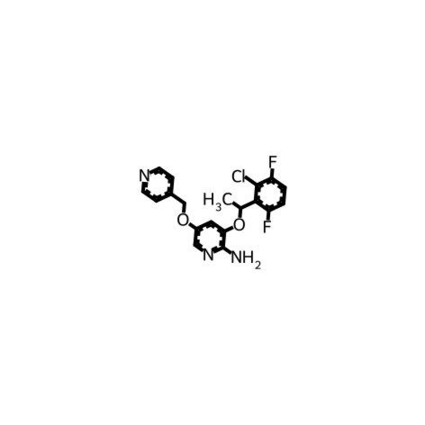 CC(Oc1cc(OCc2ccncc2)cnc1N)c1c(F)ccc(F)c1Cl